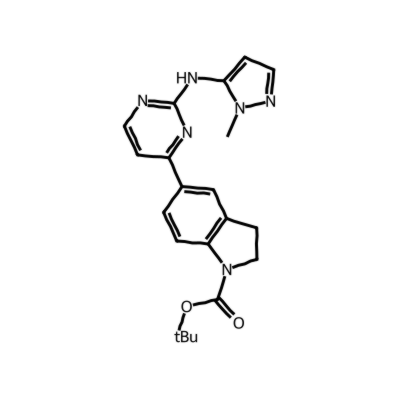 Cn1nccc1Nc1nccc(-c2ccc3c(c2)CCN3C(=O)OC(C)(C)C)n1